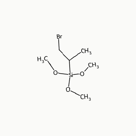 CO[Si](OC)(OC)C(C)CBr